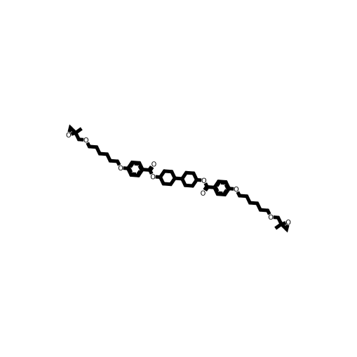 CC1(COCCCCCCOc2ccc(C(=O)OC3CCC(C4CCC(OC(=O)c5ccc(OCCCCCCOCC6(C)CO6)cc5)CC4)CC3)cc2)CO1